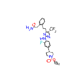 CC(C)(C)OC(=O)N1CCC(c2ccc(Nc3ncc(C(F)(F)F)c(CCc4ccccc4CC(N)=O)n3)c(F)c2)CC1